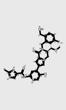 COC[C@H]1Cn2cc(-c3cc(NC(=O)c4csc(C)n4)ncc3Cl)cc2C(=O)N1Cc1cc(F)ccc1CO